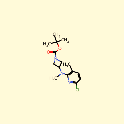 Cc1ccc(Cl)nc1N(C)C1CN(C(=O)OC(C)(C)C)C1